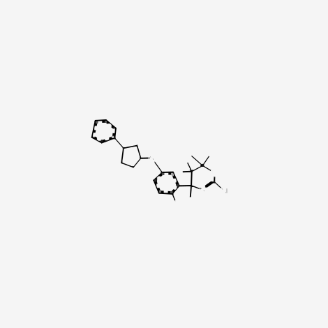 CC1(C)OC(N)=NC(C)(c2cc(NC3CCC(c4ccccc4)C3)ccc2F)C1(F)F